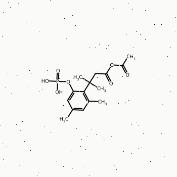 CC(=O)OC(=O)CC(C)(C)c1c(C)cc(C)cc1OP(=O)(O)O